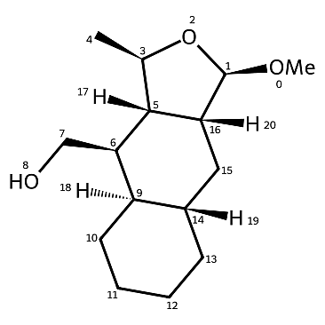 CO[C@@H]1O[C@H](C)[C@H]2[C@H](CO)[C@@H]3CCCC[C@H]3C[C@@H]12